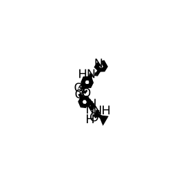 O=C(Nc1nc2cc(OS(=O)(=O)c3ccc(NCc4cccnc4)cc3)ccc2[nH]1)C1CC1